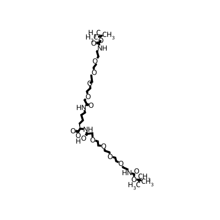 CC(C)(C)OC(=O)NCCOCCOCCOCCOCC(=O)NCCCC[C@@H](NC(=O)COCCOCCOCCOCCNC(=O)OC(C)(C)C)C(=O)O